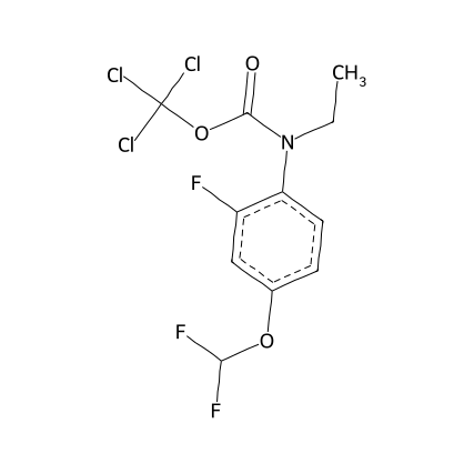 CCN(C(=O)OC(Cl)(Cl)Cl)c1ccc(OC(F)F)cc1F